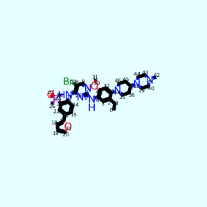 CCc1cc(Nc2ncc(Br)c(Nc3ccc(-c4ccco4)cc3P(C)(C)=O)n2)c(OC)cc1N1CCC(N2CCN(C)CC2)CC1